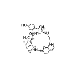 CC(c1ccc(O)cc1)[C@H]1NC(=O)[C@@H](C)N(C)C(=C2CC2)[C@H](C2CC2)NC[C@H]2CCc3ccnc(c3O2)CCCNC1=O